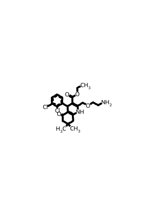 CCOC(=O)C1=C(COCCN)NC2=C(C(=O)CC(C)(C)C2)C1c1cccc(Cl)c1Cl